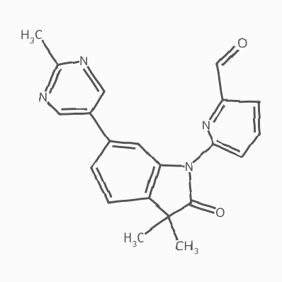 Cc1ncc(-c2ccc3c(c2)N(c2cccc(C=O)n2)C(=O)C3(C)C)cn1